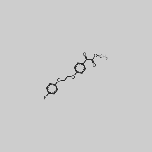 COC(=O)C(=O)c1ccc(OCCOc2ccc(F)cc2)cc1